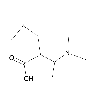 CC(C)CC(C(=O)O)C(C)N(C)C